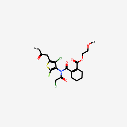 CCOCCOC(=O)C1=C(C(=O)N(C(=O)CCl)c2c(F)sc(CC(=O)OC)c2Cl)CCCC1